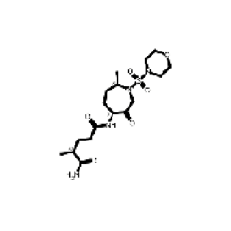 C[C@@H]1CC[C@H](NC(=O)[CH]C[C@H](C)C(N)=O)C(=O)CN1S(=O)(=O)N1CCOCC1